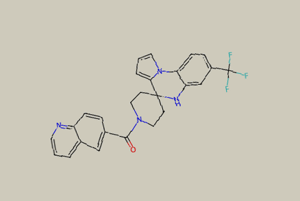 O=C(c1ccc2ncccc2c1)N1CCC2(CC1)Nc1cc(C(F)(F)F)ccc1-n1cccc12